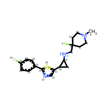 CN1CCC(F)(CNC2CC2c2cnc(-c3ccc(F)cc3)s2)CC1